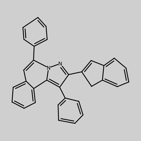 C1=C(c2nn3c(-c4ccccc4)cc4ccccc4c3c2-c2ccccc2)Cc2ccccc21